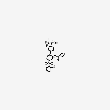 C[C@@](O)(c1ccc(N2CCN(S(=O)(=O)C3=CC=CCC3=S)C[C@@H]2CNC2COC2)cc1)C(F)(F)F